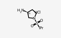 CC(C)S(=O)(=O)N1CC[C@H](N)C1.Cl